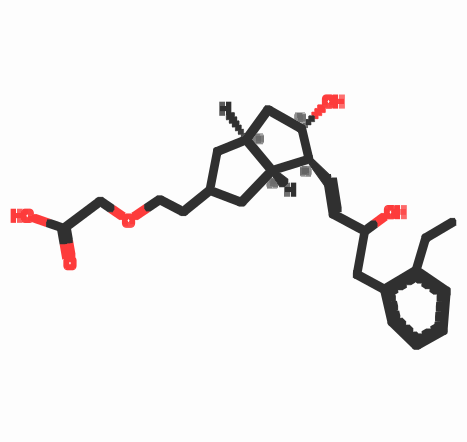 CCc1ccccc1CC(O)C=C[C@H]1[C@@H]2CC(CCOCC(=O)O)C[C@H]2C[C@@H]1O